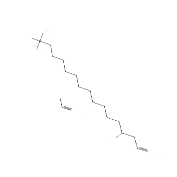 C=CC.C=CCC(O)CCCCCCCCCCCC(C)(C)C=O